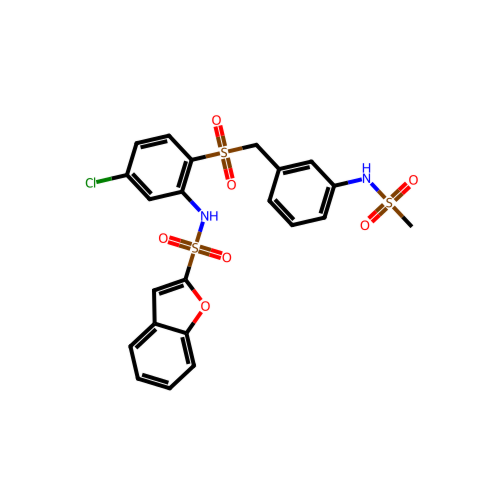 CS(=O)(=O)Nc1cccc(CS(=O)(=O)c2ccc(Cl)cc2NS(=O)(=O)c2cc3ccccc3o2)c1